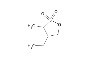 CCC1COS(=O)(=O)C1C